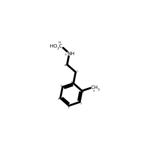 Cc1ccccc1CCNC(=O)O